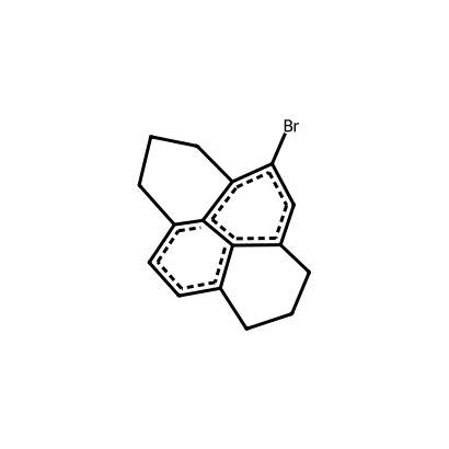 Brc1cc2c3c(ccc4c3c1CCC4)CCC2